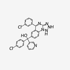 OC(c1ccc(Cl)cc1)(c1cccnc1)c1ccc2c(c1)C(c1cccc(Cl)c1)=NC1=NNNN12